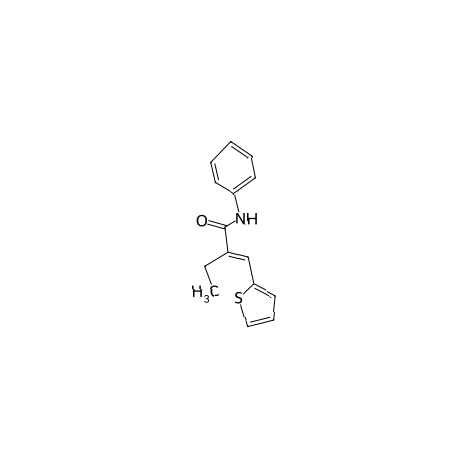 CCC(=Cc1cccs1)C(=O)Nc1ccccc1